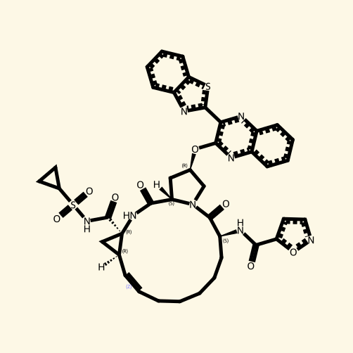 O=C(N[C@H]1CCCCC/C=C\[C@H]2C[C@@]2(C(=O)NS(=O)(=O)C2CC2)NC(=O)[C@@H]2C[C@@H](Oc3nc4ccccc4nc3-c3nc4ccccc4s3)CN2C1=O)c1ccno1